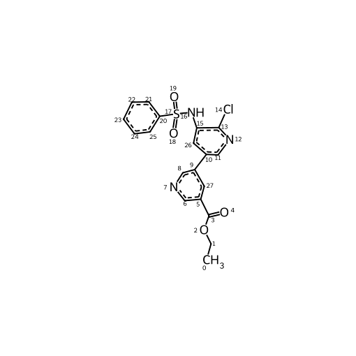 CCOC(=O)c1cncc(-c2cnc(Cl)c(NS(=O)(=O)c3ccccc3)c2)c1